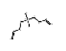 C=CCC[Si](C)(C)CCC=C